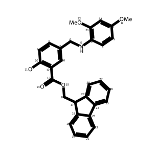 COc1ccc(NCc2ccc([O])c(C(=O)OCC3c4ccccc4-c4ccccc43)c2)c(OC)c1